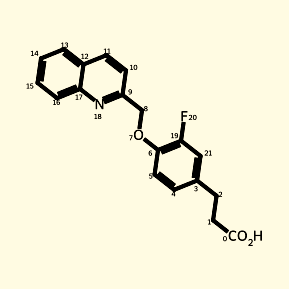 O=C(O)CCc1ccc(OCc2ccc3ccccc3n2)c(F)c1